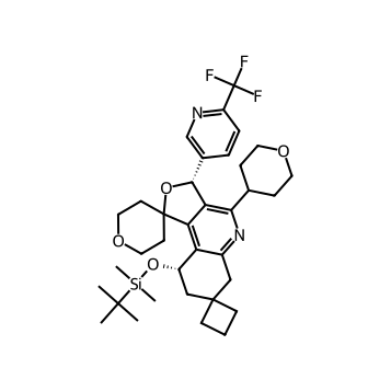 CC(C)(C)[Si](C)(C)O[C@H]1CC2(CCC2)Cc2nc(C3CCOCC3)c3c(c21)C1(CCOCC1)O[C@@H]3c1ccc(C(F)(F)F)nc1